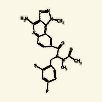 CC(=O)N(C)N(Cc1ccc(F)cc1F)C(=O)c1ccc2nc(N)c3cnn(C)c3c2c1